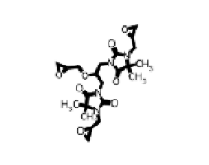 CC1(C)C(=O)N(CC(CN2C(=O)N(CC3CO3)C(C)(C)C2=O)OCC2CO2)C(=O)N1CC1CO1